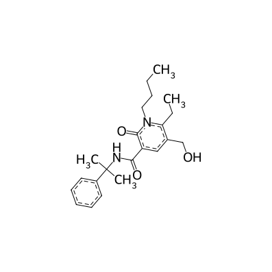 CCCCn1c(CC)c(CO)cc(C(=O)NC(C)(C)c2ccccc2)c1=O